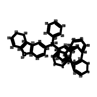 C1=CC2=C(CC1)C1=C3CCC=C1c1ccc(N(c4ccccc4)c4ccc5oc6c(c5c4)CCC=C6)cc1-c1c2cccc13